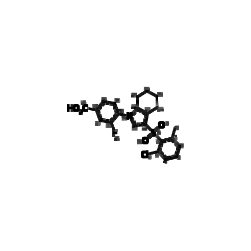 Cc1cccc(Cl)c1S(=O)(=O)c1cn(-c2ccc(C(=O)O)cc2F)c2c1CCCC2